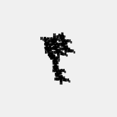 CNS(=O)(=O)c1ccc(Nc2nc(C)nc3c2ncn3[C@@H]2O[C@H](COC)[C@@H](O)[C@H]2O)cc1.COC[C@H]1O[C@@H](n2cnc3c(Nc4cc(C)c(O)c(C)c4)nc(C)nc32)[C@H](O)[C@@H]1O.COC[C@H]1O[C@@H](n2cnc3c(Nc4ccc(F)c(F)c4)nc(C)nc32)[C@H](O)[C@@H]1O.COC[C@H]1O[C@@H](n2cnc3c(Nc4ccc(N5CCN(C)CC5)cc4)nc(C)nc32)[C@H](O)[C@@H]1O